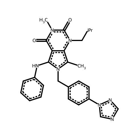 Cc1c2c(c(Nc3ccccc3)n1Cc1ccc(-n3cncn3)cc1)c(=O)n(C)c(=O)n2CC(C)C